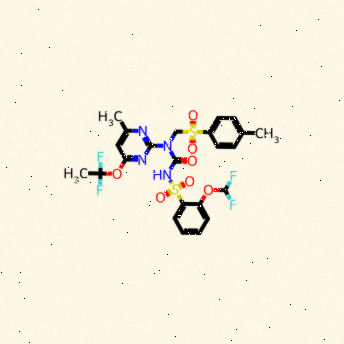 Cc1ccc(S(=O)(=O)CN(C(=O)NS(=O)(=O)c2ccccc2OC(F)F)c2nc(C)cc(OC(C)(F)F)n2)cc1